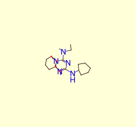 CCN(C)/C(=N/C(=N\C1CCCCC1)NC1CCCCC1)N(C)CI